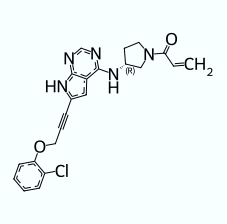 C=CC(=O)N1CC[C@@H](Nc2ncnc3[nH]c(C#CCOc4ccccc4Cl)cc23)C1